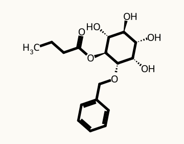 CCCC(=O)O[C@H]1[C@H](O)[C@@H](O)[C@H](O)[C@H](O)[C@@H]1OCc1ccccc1